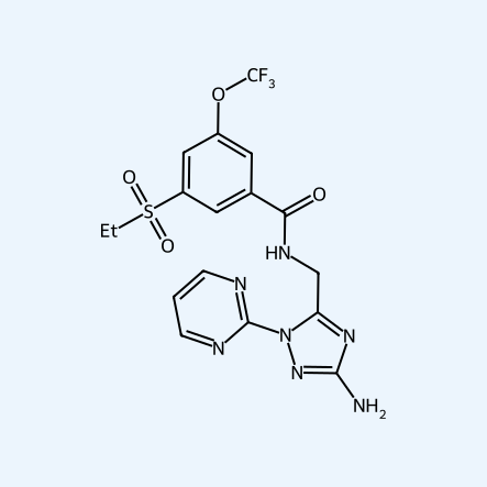 CCS(=O)(=O)c1cc(OC(F)(F)F)cc(C(=O)NCc2nc(N)nn2-c2ncccn2)c1